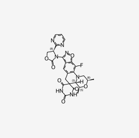 C[C@@H]1CN2c3c(cc4c(N5C(=O)OC[C@H]5c5ncccn5)noc4c3F)CC3(C(=O)NC(=O)NC3=O)[C@H]2[C@H](C)O1